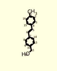 Cc1ccc(/C=C/c2ccc(CO)cc2)cc1